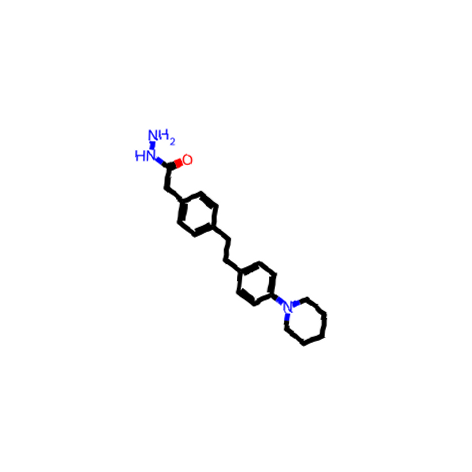 NNC(=O)Cc1ccc(CCc2ccc(N3CCCCC3)cc2)cc1